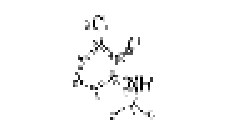 CC(C)Nc1cccc(Cl)c1Cl